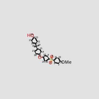 COc1ccc(S(=O)(=O)c2ccc(Oc3ccc(C(C)(C)c4ccc(O)cc4)cc3)cc2)cc1